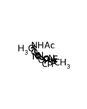 CC(=O)NC(C)COc1cnc(Oc2ccc3nc(C(C)(F)F)sc3c2Cl)cn1